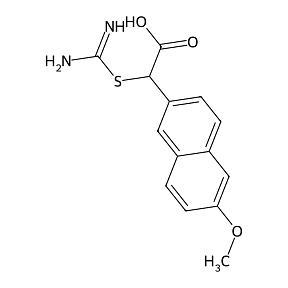 COc1ccc2cc(C(SC(=N)N)C(=O)O)ccc2c1